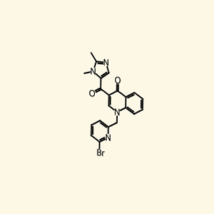 Cc1ncc(C(=O)c2cn(Cc3cccc(Br)n3)c3ccccc3c2=O)n1C